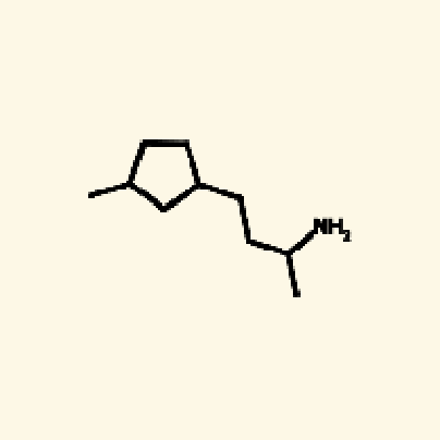 CC(N)CCC1CCC(C)C1